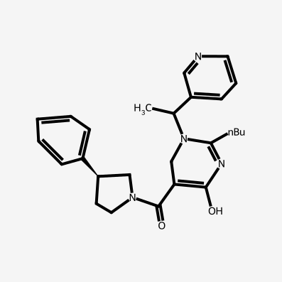 CCCCC1=NC(O)=C(C(=O)N2CC[C@@H](c3ccccc3)C2)CN1C(C)c1cccnc1